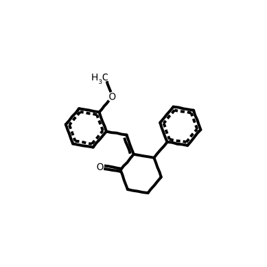 COc1ccccc1C=C1C(=O)CCCC1c1ccccc1